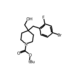 CC(C)(C)OC(=O)N1CCC(CO)(Cc2ccc(Br)cc2F)CC1